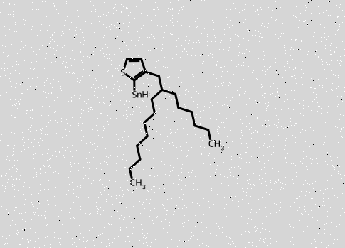 CCCCCCCCC(CCCCCC)Cc1ccs[c]1[SnH]